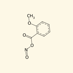 COc1ccccc1C(=O)ON=O